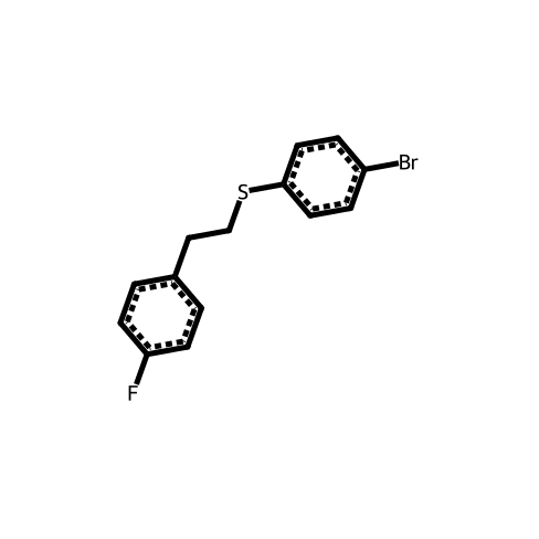 Fc1ccc(CCSc2ccc(Br)cc2)cc1